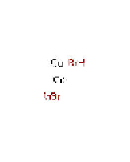 Br.Br.[Cu].[Cu]